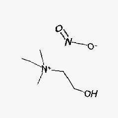 C[N+](C)(C)CCO.O=N[O-]